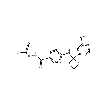 COc1cccc(C2(Nc3ncc(C(=O)NNC(=O)C(F)(F)F)cn3)CCC2)c1